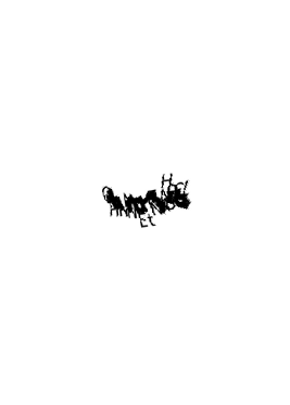 CCc1cc(-c2ccc3c(NS(=O)(=O)c4ccccc4Cl)ncnn23)cc2cnc(NC3CC4(COC4)C3)nc12